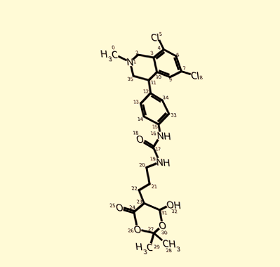 CN1Cc2c(Cl)cc(Cl)cc2C(c2ccc(NC(=O)NCCCC3C(=O)OC(C)(C)OC3O)cc2)C1